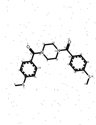 CSc1ccc(C(=O)N2CCN(C(=O)c3ccc(SC)cc3)CC2)cc1